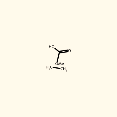 CC.COC(=O)O